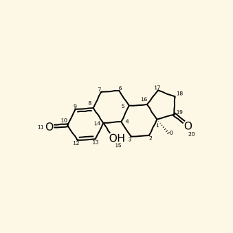 C[C@]12CCC3C(CCC4=CC(=O)C=CC43O)C1CCC2=O